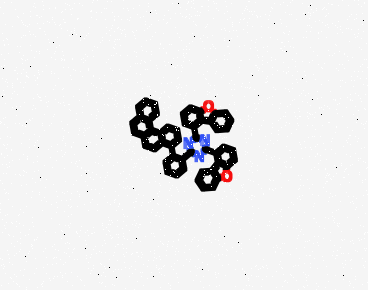 c1ccc(-c2cccc3c2ccc2ccc4ccccc4c23)c(-c2nc(-c3cccc4oc5ccccc5c34)nc(-c3cccc4oc5ccccc5c34)n2)c1